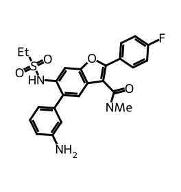 CCS(=O)(=O)Nc1cc2oc(-c3ccc(F)cc3)c(C(=O)NC)c2cc1-c1cccc(N)c1